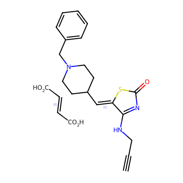 C#CCNC1=NC(=O)S/C1=C\C1CCN(Cc2ccccc2)CC1.O=C(O)/C=C/C(=O)O